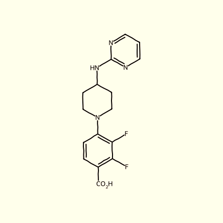 O=C(O)c1ccc(N2CCC(Nc3ncccn3)CC2)c(F)c1F